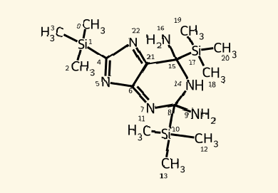 C[Si](C)(C)C1=NC2=NC(N)([Si](C)(C)C)NC(N)([Si](C)(C)C)C2=N1